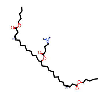 CCCCCOC(=O)C/C=C\CCCCCCCCC(CCCCCCCC/C=C\CC(=O)OCCCCC)OC(=O)CCCN(C)C